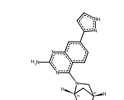 Nc1nc(N2C[C@H]3C[C@@H]2CO3)c2ccc(-c3cc[nH]n3)cc2n1